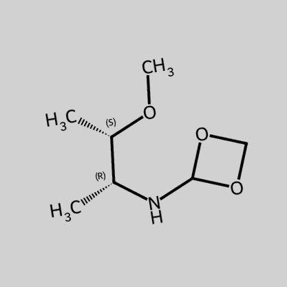 CO[C@@H](C)[C@@H](C)NC1OCO1